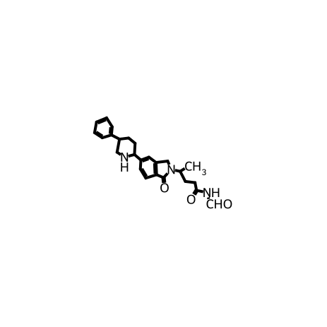 CC(CCC(=O)NC=O)N1Cc2cc(C3CCC(c4ccccc4)CN3)ccc2C1=O